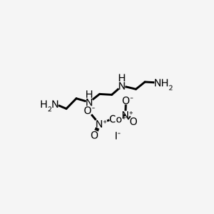 NCCNCCNCCN.O=[N+]([O-])[Co+][N+](=O)[O-].[I-]